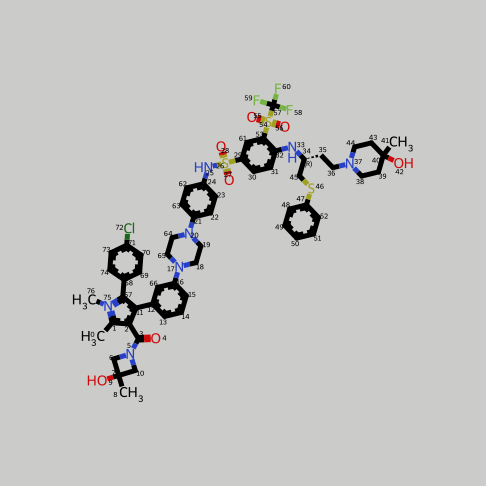 Cc1c(C(=O)N2CC(C)(O)C2)c(-c2cccc(N3CCN(c4ccc(NS(=O)(=O)c5ccc(N[C@H](CCN6CCC(C)(O)CC6)CSc6ccccc6)c(S(=O)(=O)C(F)(F)F)c5)cc4)CC3)c2)c(-c2ccc(Cl)cc2)n1C